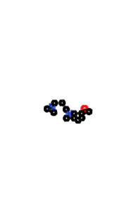 c1cc(-c2ccc(N(c3ccc(-c4ccc5c(c4)oc4ccccc45)cc3)c3ccccc3-c3ccc4c(ccc5ccccc54)c3)cc2)cc(-c2cccc(-n3c4ccccc4c4ccccc43)c2)c1